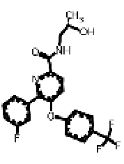 C[C@H](O)CNC(=O)c1ccc(Oc2ccc(C(F)(F)F)cc2)c(-c2cccc(F)c2)n1